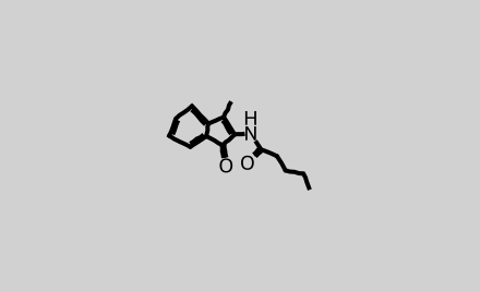 CCCCC(=O)NC1=C(C)c2ccccc2C1=O